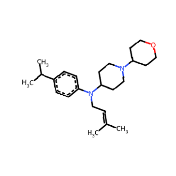 CC(C)=CCN(c1ccc(C(C)C)cc1)C1CCN(C2CCOCC2)CC1